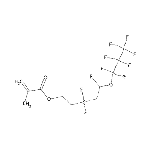 C=C(C)C(=O)OCCS(F)(F)CC(F)OC(F)(F)C(F)(F)C(F)(F)F